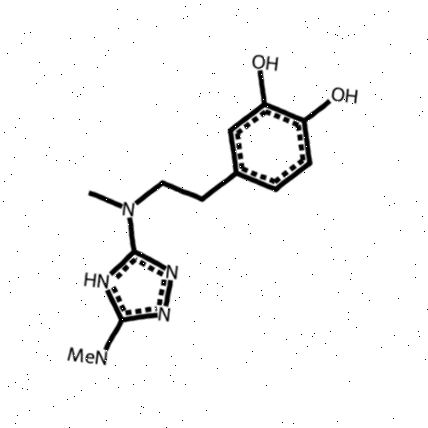 CNc1nnc(N(C)CCc2ccc(O)c(O)c2)[nH]1